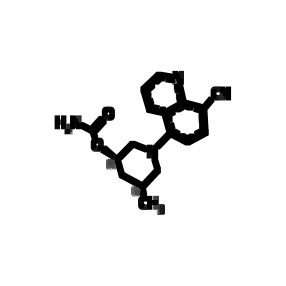 C[C@H]1C[C@@H](OC(N)=O)CN(c2ccc(C#N)c3ncccc23)C1